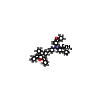 CC1(C)c2ccccc2-c2ccc(N(c3ccc(-c4ccc5c(c4)-c4ccccc4C54c5ccc6ccccc6c5Oc5c4ccc4ccccc54)cc3)c3ccc4oc5ccccc5c4c3)cc21